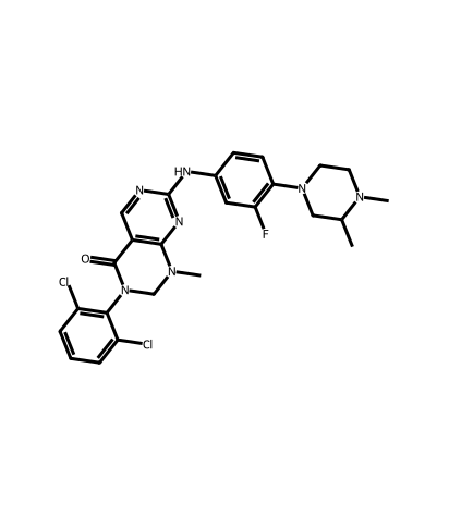 CC1CN(c2ccc(Nc3ncc4c(n3)N(C)CN(c3c(Cl)cccc3Cl)C4=O)cc2F)CCN1C